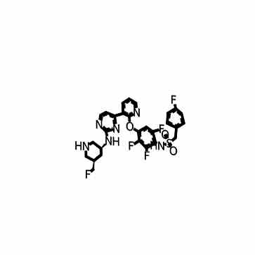 O=S(=O)(Cc1ccc(F)cc1)Nc1c(F)cc(Oc2ncccc2-c2ccnc(N[C@@H]3CNC[C@H](CF)C3)n2)c(F)c1F